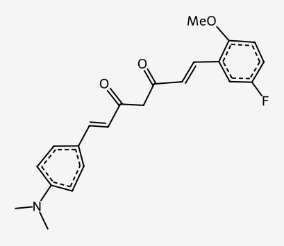 COc1ccc(F)cc1C=CC(=O)CC(=O)C=Cc1ccc(N(C)C)cc1